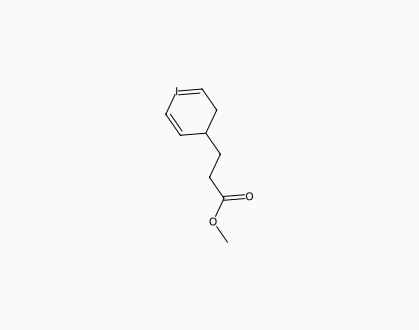 COC(=O)CCC1C=CI=CC1